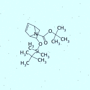 CC(C)(C)OC(=O)N1C2C=CC1C(O[Si](C)(C)C(C)(C)C)C2